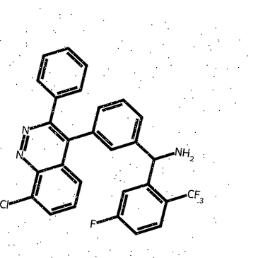 NC(c1cccc(-c2c(-c3ccccc3)nnc3c(Cl)cccc23)c1)c1cc(F)ccc1C(F)(F)F